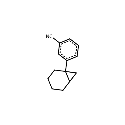 N#Cc1cccc(C23CCCCC2C3)c1